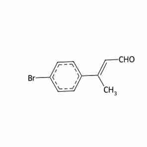 CC(=CC=O)c1ccc(Br)cc1